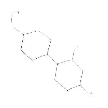 CCCCC1CCC(C2CCC(OCCC)CC2)C(C)C1